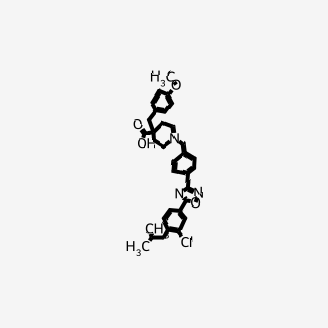 COc1ccc(CC2(C(=O)O)CCN(Cc3ccc(-c4noc(-c5ccc(CC(C)C)c(Cl)c5)n4)cc3)CC2)cc1